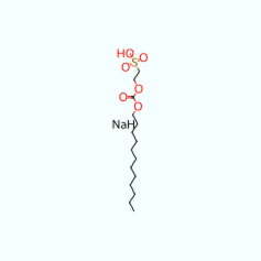 CCCCCCCCCCCCOC(=O)OCCS(=O)(=O)O.[NaH]